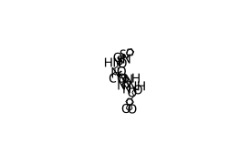 O=C(O)CN(CCNS(=O)(=O)c1nc2ccccc2s1)C(=O)Cn1cnc2c(NC(=O)OCc3ccc4c(c3)OCO4)ncnc21